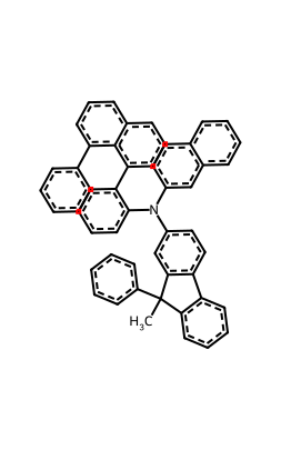 CC1(c2ccccc2)c2ccccc2-c2ccc(N(c3ccc4ccccc4c3)c3ccccc3-c3cccc4cccc(-c5ccccc5)c34)cc21